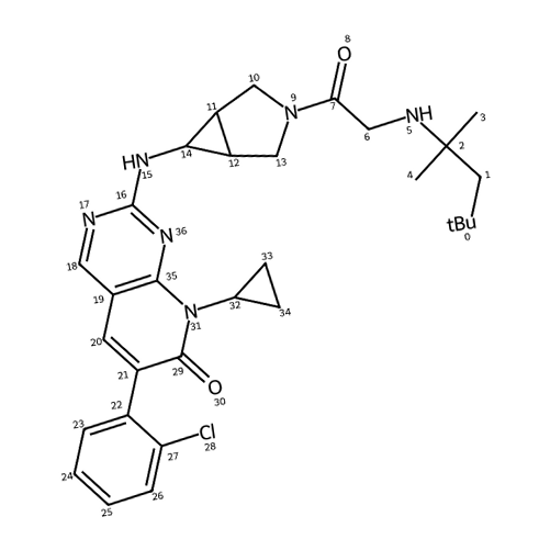 CC(C)(C)CC(C)(C)NCC(=O)N1CC2C(C1)C2Nc1ncc2cc(-c3ccccc3Cl)c(=O)n(C3CC3)c2n1